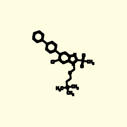 C[Si](C)(C)CCOCn1c(S(C)(=O)=O)nc2cc(-c3ccc(-c4ccccc4)cc3)c(Cl)cc21